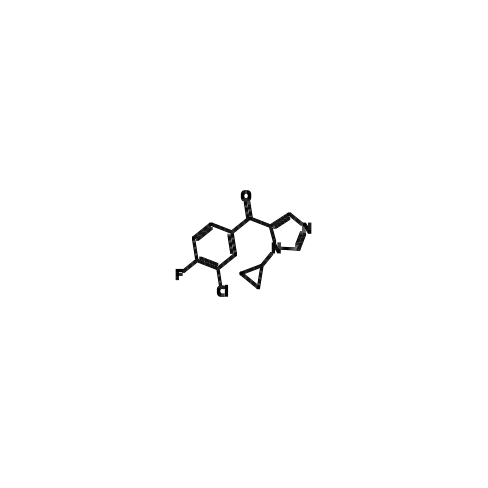 O=C(c1ccc(F)c(Cl)c1)c1cncn1C1CC1